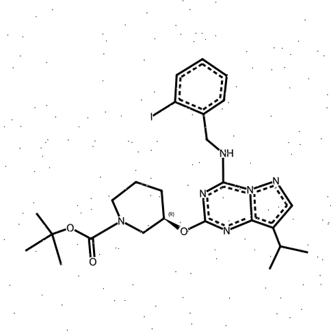 CC(C)c1cnn2c(NCc3ccccc3I)nc(O[C@@H]3CCCN(C(=O)OC(C)(C)C)C3)nc12